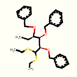 CCSC(SCC)[C@H](OCc1ccccc1)[C@H](OCc1ccccc1)[C@@H](CC)OCc1ccccc1